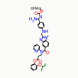 CCCCCCOC(=O)/N=C(\N)c1ccc(NCc2nc3cc(C(=O)N(CCC(=O)Oc4ccccc4OC(F)F)c4ccccn4)ccc3n2C)cc1